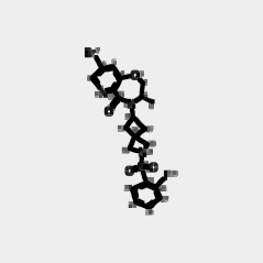 C[C@@H]1COc2cc(Br)cnc2C(=O)N1C1CC2(C1)CN(S(=O)(=O)c1ccccc1F)C2